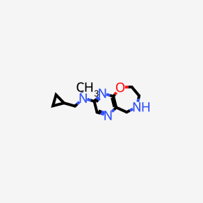 CN(CC1CC1)c1cnc2c(n1)OCCNC2